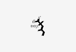 C=C/C(C)=C/C(C)(C(=O)OCC)C(=S)CC